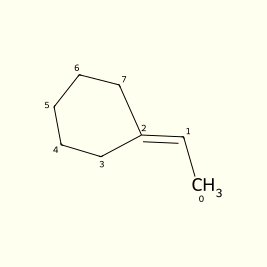 CC=C1CCCCC1